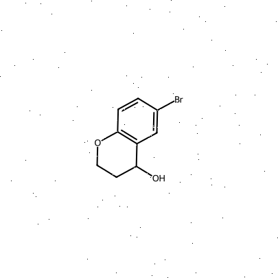 OC1CCOc2ccc(Br)cc21